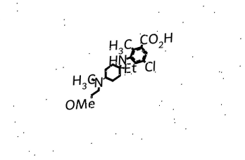 CC[C@]1(Nc2cc(Cl)cc(C(=O)O)c2C)CC[C@@H](N(C)CCOC)CC1